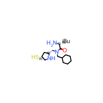 CC[C@H](C)[C@H](N)C(=O)N(CC1CCCCC1)C[C@H]1C[C@@H](S)CN1